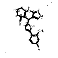 Cc1cc(Cl)ccc1-c1ccc(C2C3=C(CNCC3=O)Nc3n[nH]cc32)o1